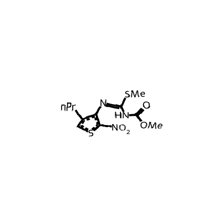 CCCc1csc([N+](=O)[O-])c1N=C(NC(=O)OC)SC